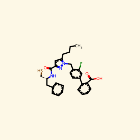 CCCCc1cc(C(=O)N[C@@H](CS)Cc2ccccc2)nn1Cc1ccc(-c2ccccc2C(=O)O)cc1F